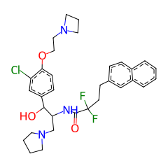 O=C(NC(CN1CCCC1)C(O)c1ccc(OCCN2CCC2)c(Cl)c1)C(F)(F)CCc1ccc2ccccc2c1